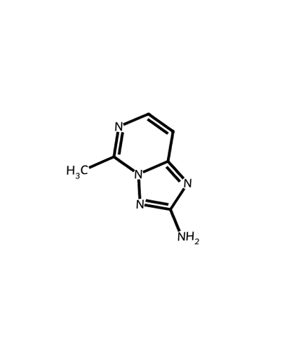 Cc1nccc2nc(N)nn12